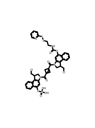 O=C(NCCSSc1ccccn1)Oc1cc2c(c3ccccc13)C(CCl)CN2C(=O)C12CC(C(=O)N3CC(CCl)c4c3cc(OP(=O)(O)O)c3ccccc43)(C1)C2